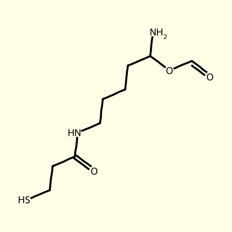 NC(CCCCNC(=O)CCS)OC=O